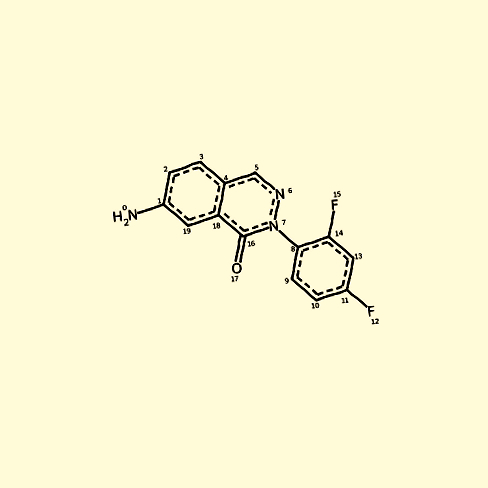 Nc1ccc2cnn(-c3ccc(F)cc3F)c(=O)c2c1